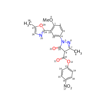 COc1ccc(N2N=C(C)C(C(=O)Oc3ccc([N+](=O)[O-])cc3)C2=O)cc1-c1ncc(C)o1